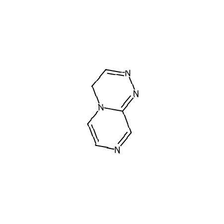 C1=CN2CC=NN=C2C=N1